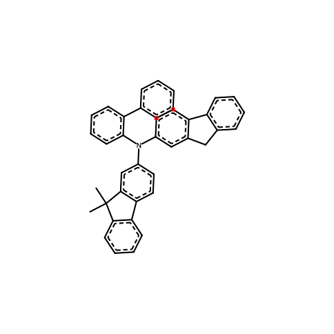 CC1(C)c2ccccc2-c2ccc(N(c3ccc4c(c3)Cc3ccccc3-4)c3ccccc3-c3ccccc3)cc21